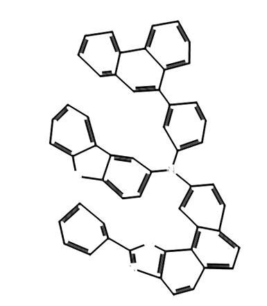 c1ccc(-c2nc3ccc4ccc5ccc(N(c6cccc(-c7cc8ccccc8c8ccccc78)c6)c6ccc7oc8ccccc8c7c6)cc5c4c3o2)cc1